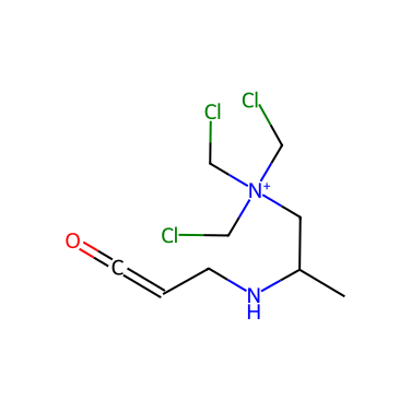 CC(C[N+](CCl)(CCl)CCl)NCC=C=O